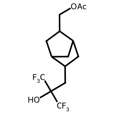 CC(=O)OCC1CC2CC1CC2CC(O)(C(F)(F)F)C(F)(F)F